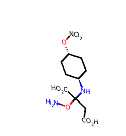 NOC(CC(=O)O)(N[C@H]1CC[C@H](O[N+](=O)[O-])CC1)C(=O)O